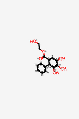 O=C(OCCO)c1cc(O)c(O)c(O)c1-c1ccccc1